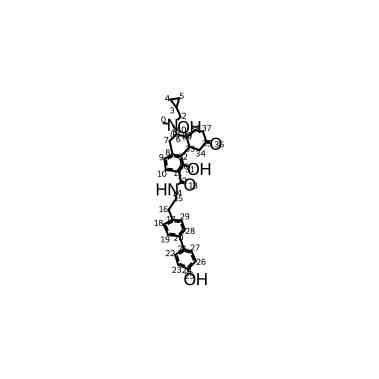 CN(CC1CC1)[C@@H]1Cc2ccc(C(=O)NCCc3ccc(-c4ccc(O)cc4)cc3)c(O)c2C2CC(=O)CC[C@]21O